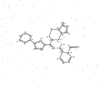 O=C(c1nnc(-c2cccnc2)o1)N1CCc2[nH]cnc2[C@@H]1C/C=C1/C=CC=CN1N=S